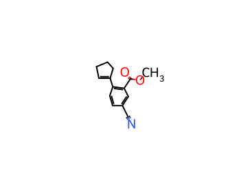 COC(=O)c1cc(C#N)ccc1C1=CCCC1